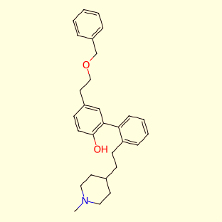 CN1CCC(CCc2ccccc2-c2cc(CCOCc3ccccc3)ccc2O)CC1